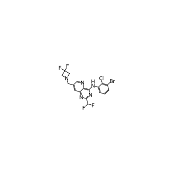 FC(F)c1nc(Nc2cccc(Br)c2Cl)c2ncc(CN3CC(F)(F)C3)cc2n1